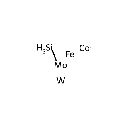 [Co].[Fe].[SiH3][Mo].[W]